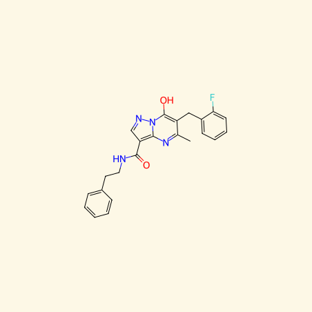 Cc1nc2c(C(=O)NCCc3ccccc3)cnn2c(O)c1Cc1ccccc1F